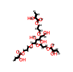 CC=C(O)C(=O)OCCCOCC(OCCCOC(=O)C(O)=CC)C(O)C(O)C(CO)OCCCOC(=O)C(O)=CC